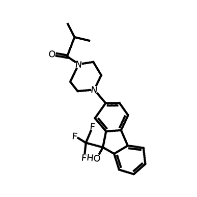 CC(C)C(=O)N1CCN(c2ccc3c(c2)C(O)(C(F)(F)F)c2ccccc2-3)CC1